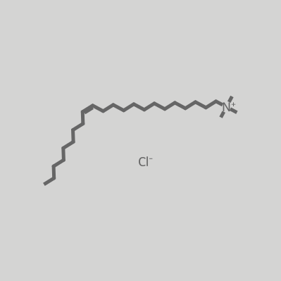 CCCCCCCC/C=C\CCCCCCCCCCCC[N+](C)(C)C.[Cl-]